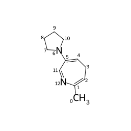 CC1=CCC=C(N2CCCC2)C=N1